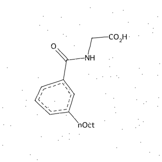 CCCCCCCCc1cccc(C(=O)NCC(=O)O)c1